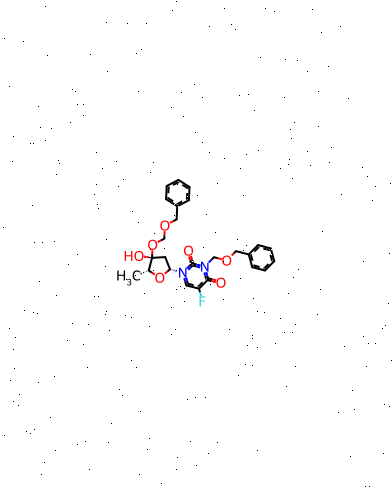 C[C@H]1O[C@@H](n2cc(F)c(=O)n(COCc3ccccc3)c2=O)C[C@@]1(O)OCOCc1ccccc1